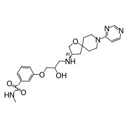 CNS(=O)(=O)c1cccc(OCC(O)CN[C@H]2COC3(CCN(c4ccncn4)CC3)C2)c1